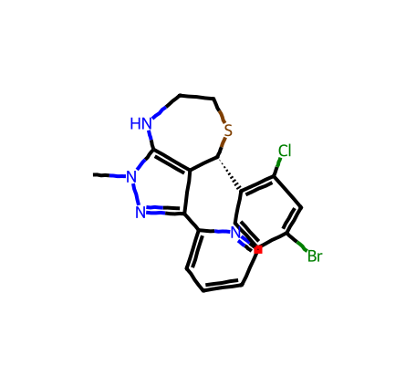 Cn1nc(-c2ccccn2)c2c1NCCS[C@@H]2c1ccc(Br)cc1Cl